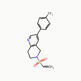 C=CS(=O)(=O)N1CCc2ncc(-c3ccc(C(F)(F)F)cc3)cc2C1